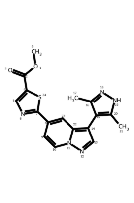 COC(=O)c1cnc(-c2ccn3ncc(-c4c(C)n[nH]c4C)c3c2)s1